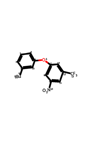 CC(C)(C)c1cccc(Oc2cc([N+](=O)[O-])cc(C(F)(F)F)c2)c1